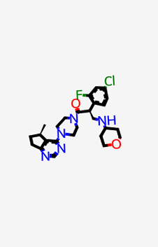 C[C@@H]1CCc2ncnc(N3CCN(C(=O)[C@H](CNC4CCOCC4)c4ccc(Cl)cc4F)CC3)c21